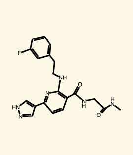 CNC(=O)CNC(=O)c1ccc(-c2cn[nH]c2)nc1NCCc1cccc(F)c1